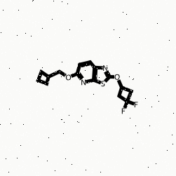 FC1(F)CC(Oc2nc3ccc(OCC4CCC4)nc3s2)C1